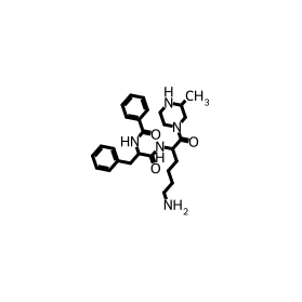 CC1CN(C(=O)C(CCCCN)NC(=O)C(Cc2ccccc2)NC(=O)c2ccccc2)CCN1